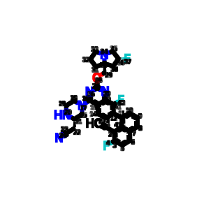 C#Cc1c(F)ccc2cccc(-c3ccc4c(N5CCN[C@@H](CC#N)C5)nc(OC[C@@]56CCCN5C[C@H](F)C6)nc4c3F)c12